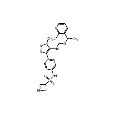 C[C@@H](OCNc1c(-c2ccc(NS(=O)(=O)C3CNC3)cn2)nnn1C)c1cccnc1Cl